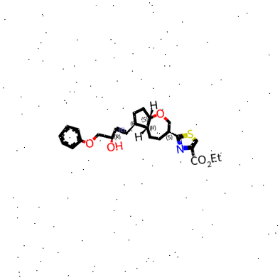 CCOC(=O)c1csc([C@H]2CC[C@H]3[C@H](CC[C@@H]3/C=C/[C@@H](O)COc3ccccc3)OC2)n1